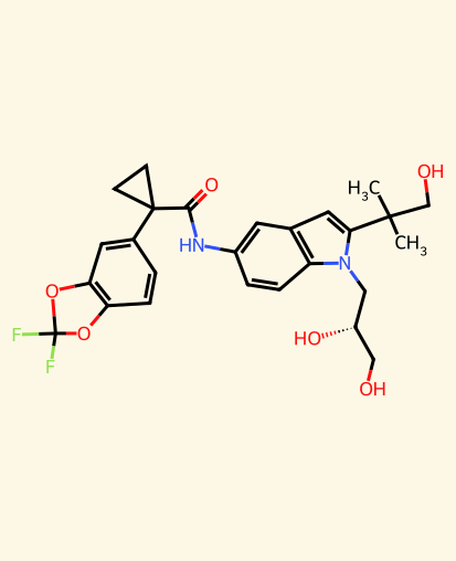 CC(C)(CO)c1cc2cc(NC(=O)C3(c4ccc5c(c4)OC(F)(F)O5)CC3)ccc2n1C[C@@H](O)CO